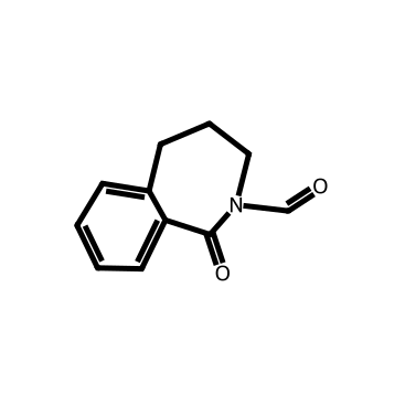 O=CN1CCCc2ccccc2C1=O